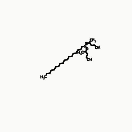 CCCCCCCCCCCCCCCCCCN(OC(C)CCO)OC(C)CCO